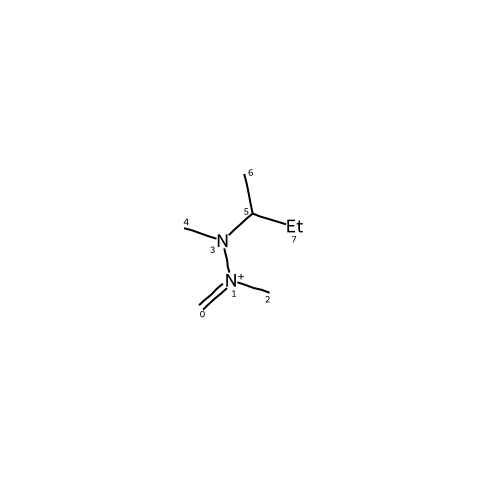 C=[N+](C)N(C)C(C)CC